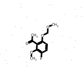 COCOc1ccc(F)c(OC)c1C(C)=O